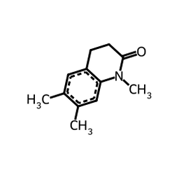 Cc1cc2c(cc1C)N(C)C(=O)CC2